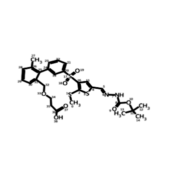 CSc1sc(C=NNC(=O)OC(C)(C)C)cc1S(=O)(=O)c1cccc(-c2c(C)cccc2COCCC(=O)O)c1